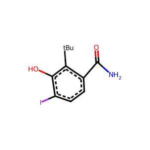 CC(C)(C)c1c(C(N)=O)ccc(I)c1O